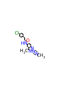 Cc1nc(N2CCN(C)CC2)nc2ccc(NC(=O)C=Cc3ccc(Cl)cc3)cc12